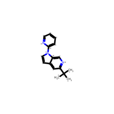 CC(C)(C)c1cc2ccn(-c3ccccn3)c2cn1